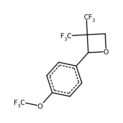 FC(F)(F)Oc1ccc(C2OCC2(C(F)(F)F)C(F)(F)F)cc1